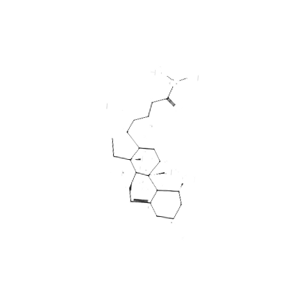 C[C@H](CCC(=O)N(C)C)[C@H]1CC[C@H]2[C@@H]3CC=C4C[C@@H](O)C[C@H](O)[C@]4(C)[C@H]3CC[C@]12C